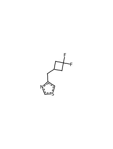 FC1(F)CC(Cc2cscn2)C1